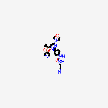 N#CCCNC(=O)Nc1ccc(-c2nc(N3CCOCC3)cc(C3(S(=O)(=O)c4ccncc4)CC3)n2)cc1